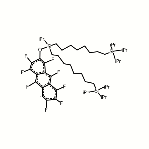 CC(C)[Si](CCCCCCCC[Si](C(C)C)(C(C)C)C(C)C)(CCCCCCCC[Si](C(C)C)(C(C)C)C(C)C)Oc1c(F)c(F)c2c(F)c3[c]c(F)c(F)c(F)c3c(F)c2c1F